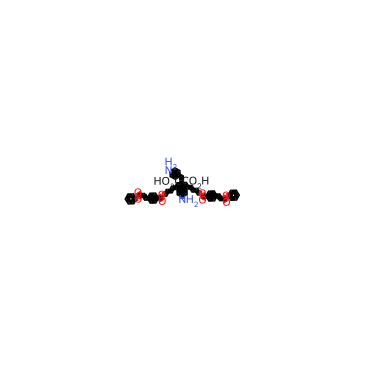 Nc1ccc(CC(C(=O)O)(C(=O)O)C(CCCCCCOC(=O)c2ccc(C=CC(=O)OC3CCCCC3)cc2)(CCCCCCOC(=O)c2ccc(C=CC(=O)OC3CCCCC3)cc2)c2ccc(N)cc2)cc1